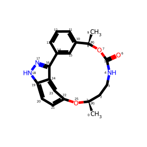 C[C@@H]1CCNC(=O)O[C@H](C)c2cccc(c2)-c2n[nH]c3ccc(cc23)O1